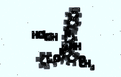 COc1ccc2c(COCc3ccccc3)nnc(NC3CCN(Cc4ccc5ccccc5c4)CC3)c2c1.Cl.Cl